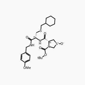 COc1ccc(CNC(=O)[C@H](CSCC2CCCCC2)NC(=O)[C@@H]2C[S+]([O-])CN2C(=O)OC(C)(C)C)cc1